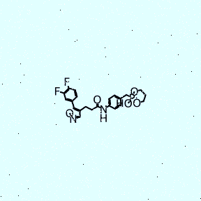 O=C(CCc1cnoc1-c1ccc(F)c(F)c1)Nc1ccc(C[P]2(O)OCCCO2)cc1